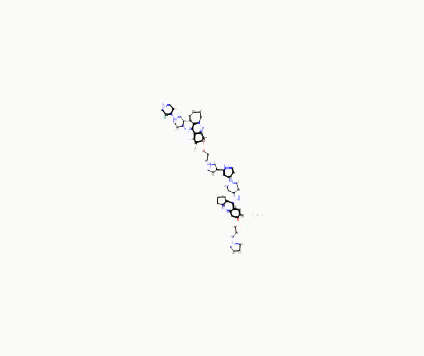 COc1cc2c(NC3CCN(c4ccnc(C5CCN(CCCOc6cc7nc8c(c(NC9CCN(c%10ccncc%10F)CC9)c7cc6OC)CCCCC8)C5)c4)CC3)c3c(nc2cc1OCCCN1CCCC1)CCC3